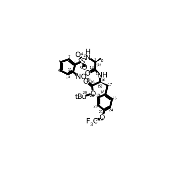 C[C@H](NS(=O)(=O)c1ccccc1[N+](=O)[O-])C(=O)N[C@@H](Cc1ccc(OC(F)(F)F)cc1)C(=O)OC(C)(C)C